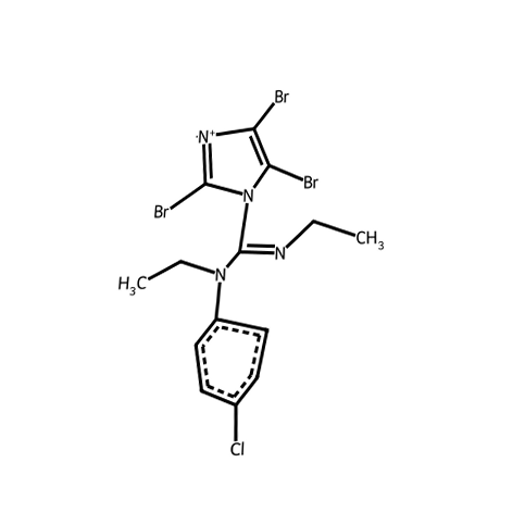 CCN=C(N1C(Br)=[N+]C(Br)=C1Br)N(CC)c1ccc(Cl)cc1